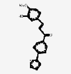 COc1ccc(/C=C/C(=O)c2ccc(-c3cccs3)cc2)cc1O